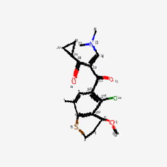 COC1CCSc2c(C)cc(C(=O)C(=CN(C)C)C(=O)C3CC3)c(Cl)c21